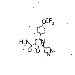 Cn1cc(-n2nc(-c3ccc(OC(F)(F)F)cc3)cc(C(N)=O)c2=O)cn1